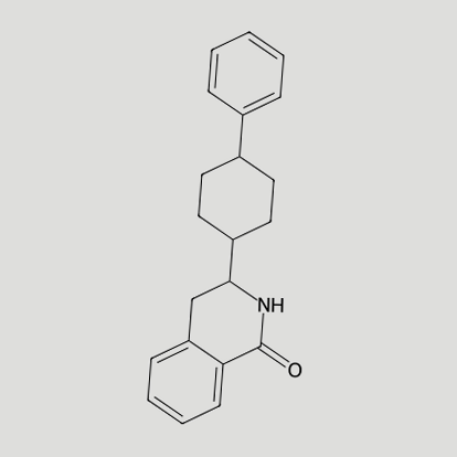 O=C1NC(C2CCC(c3ccccc3)CC2)Cc2ccccc21